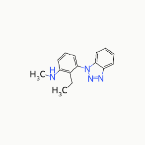 CCc1c(NC)cccc1-n1nnc2ccccc21